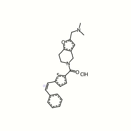 CN(C)Cc1cc2c(o1)CCN(C(=O)c1ccc(/C=C\c3ccccc3)s1)C2.Cl